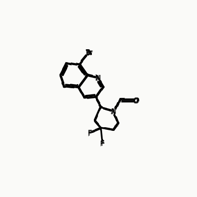 O=CN1CCC(F)(F)CC1c1cnc2c(Br)cccc2c1